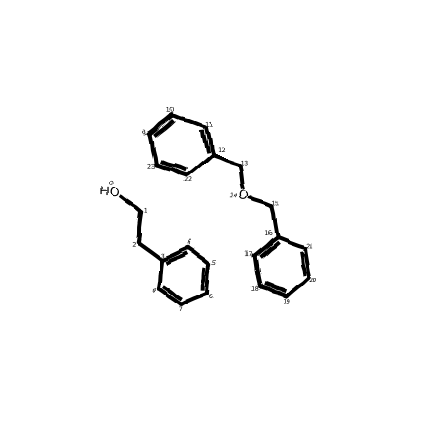 OCCc1ccccc1.c1ccc(COCc2ccccc2)cc1